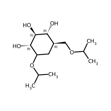 CC(C)OC[C@H]1CC(OC(C)C)[C@H](O)[C@@H](O)[C@@H]1O